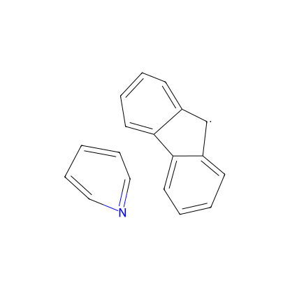 [CH]1c2ccccc2-c2ccccc21.c1ccncc1